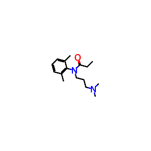 CCC(=O)N(CCCN(C)C)c1c(C)cccc1C